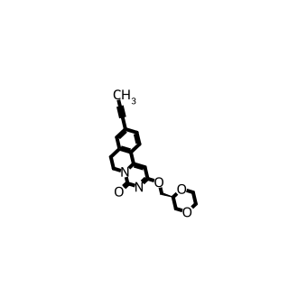 CC#Cc1ccc2c(c1)CCn1c-2cc(OC[C@@H]2COCCO2)nc1=O